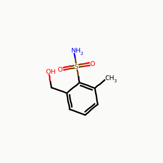 Cc1cccc(CO)c1S(N)(=O)=O